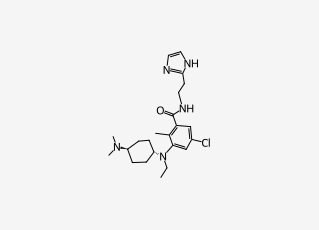 CCN(c1cc(Cl)cc(C(=O)NCCc2ncc[nH]2)c1C)[C@H]1CC[C@H](N(C)C)CC1